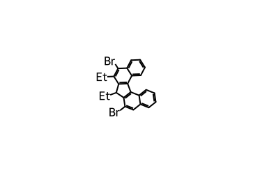 CCc1c2c(c3ccccc3c1Br)-c1c(c(Br)cc3ccccc13)C2CC